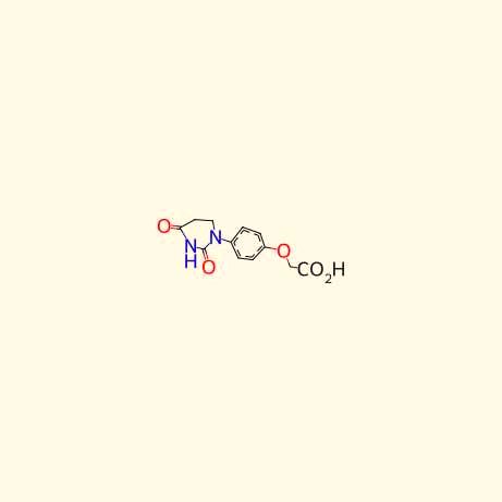 O=C(O)COc1ccc(N2CCC(=O)NC2=O)cc1